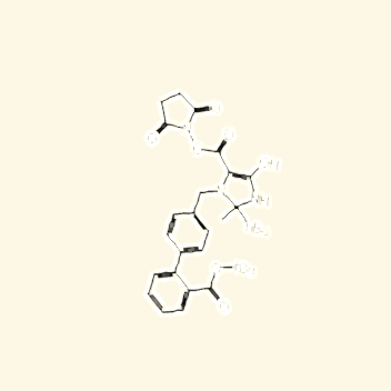 CCCCC1(C)NC(O)=C(C(=O)ON2C(=O)CCC2=O)N1Cc1ccc(-c2ccccc2C(=O)OC(C)(C)C)cc1